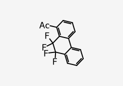 CC(=O)c1cccc2c1C(F)(F)C(F)(F)c1ccccc1-2